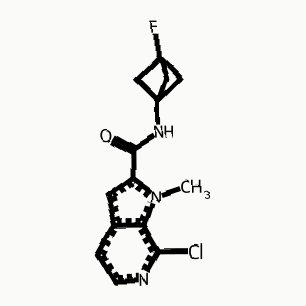 Cn1c(C(=O)NC23CC(F)(C2)C3)cc2ccnc(Cl)c21